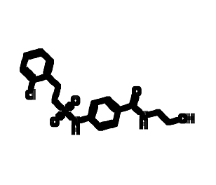 O=C(NCCO)c1ccc(NS(=O)(=O)CCc2ccccc2Cl)cc1